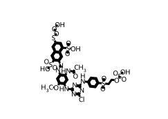 COc1cc(/N=N/c2cc3c(S(=O)(=O)O)cc(SOOO)cc3cc2S(=O)(=O)O)c(NC(C)=O)cc1Nc1nc(Cl)nc(Nc2ccc(S(=O)(=O)CCOS(=O)(=O)O)cc2)n1